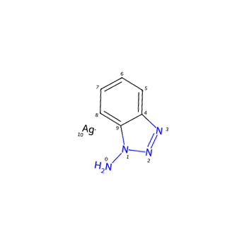 Nn1nnc2ccccc21.[Ag]